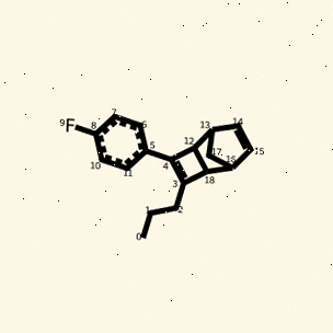 CCCC1=C(c2ccc(F)cc2)C2C3C=CC(C3)C12